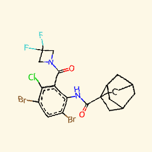 O=C(c1c(Cl)c(Br)cc(Br)c1NC(=O)C12CC3CC(CC1C3)C2)N1CC(F)(F)C1